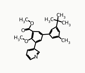 COC(=O)c1cc(-c2cc(C)cc(C(C)(C)C)c2)cc(-c2cccnc2)c1OC